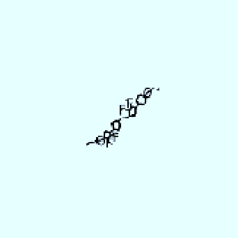 C=CCCOc1ccc(-c2ccc(CCc3ccc(C4=CCC(OCCCC)CC4)c(F)c3F)cc2)c(F)c1F